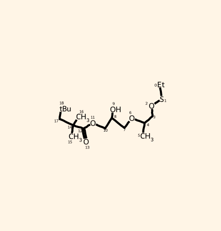 CCSOCC(C)OCC(O)COC(=O)C(C)(C)CC(C)(C)C